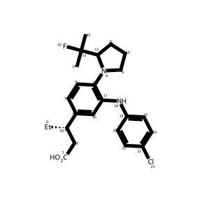 CC[C@@H](CC(=O)O)c1ccc(N2CCCC2C(C)(C)F)c(Nc2ccc(Cl)cc2)c1